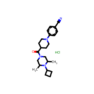 CC1CN(C(=O)C2CCN(c3ccc(C#N)cc3)CC2)CC(C)N1C1CCC1.Cl